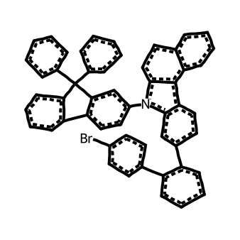 Brc1ccc(-c2ccccc2-c2ccc3c4c5ccccc5ccc4n(-c4ccc5c(c4)C(c4ccccc4)(c4ccccc4)c4ccccc4-5)c3c2)cc1